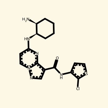 N[C@H]1CCCC[C@H]1Nc1ccn2ncc(C(=O)Nc3ccsc3Cl)c2n1